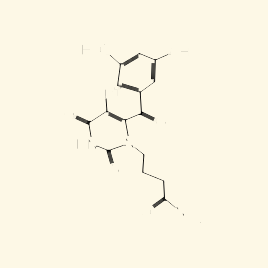 Cc1cc(C)cc(C(=O)c2c(C(C)C)c(=O)[nH]c(=O)n2CCCC(N)=O)c1